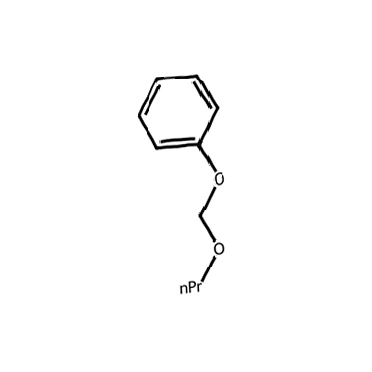 [CH2]CCOCOc1ccccc1